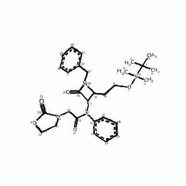 CC(C)(C)[Si](C)(C)OCCC1C(N(C(=O)CN2CCOC2=O)c2ccccc2)C(=O)N1Cc1ccccc1